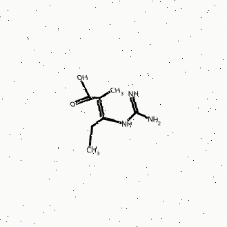 CCC(NC(=N)N)=C(C)C(=O)O